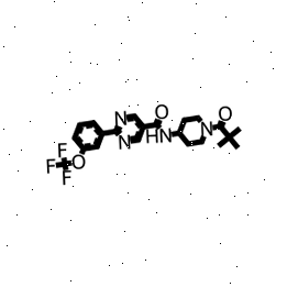 CC(C)(C)C(=O)N1CCC(NC(=O)c2cnc(-c3cccc(OC(F)(F)F)c3)nc2)CC1